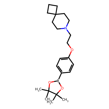 CC1(C)OB(c2ccc(OCCN3CCC4(CCC4)CC3)cc2)OC1(C)C